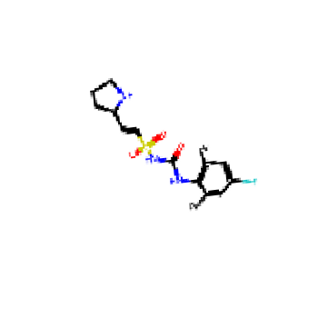 CC(C)c1cc(F)cc(C(C)C)c1NC(=O)NS(=O)(=O)/C=C/C1CCCN1